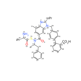 CCCc1nc2c(C)cc(C(=O)N(SC(=O)C(N)C(C)C)C(C)Cc3ccccc3)cc2n1Cc1ccc(-c2ccccc2C(=O)O)cc1